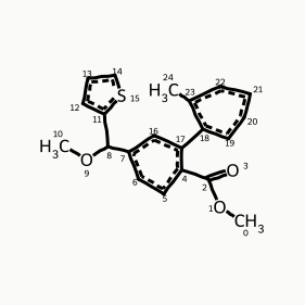 COC(=O)c1ccc(C(OC)c2cccs2)cc1-c1ccccc1C